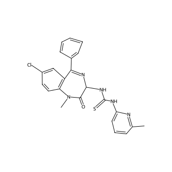 Cc1cccc(NC(=S)NC2N=C(c3ccccc3)c3cc(Cl)ccc3N(C)C2=O)n1